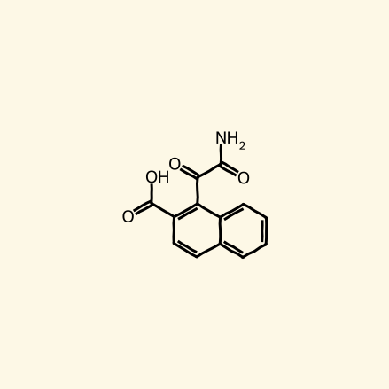 NC(=O)C(=O)c1c(C(=O)O)ccc2ccccc12